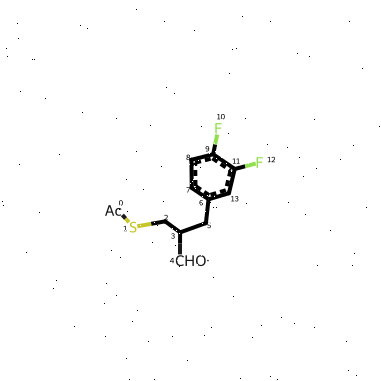 CC(=O)SCC([C]=O)Cc1ccc(F)c(F)c1